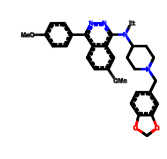 CCN(c1nnc(-c2ccc(OC)cc2)c2ccc(OC)cc12)C1CCN(Cc2ccc3c(c2)OCO3)CC1